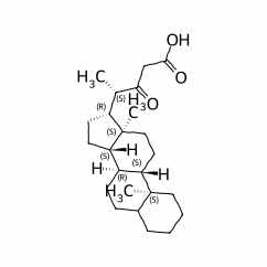 C[C@H](C(=O)CC(=O)O)[C@H]1CC[C@H]2[C@@H]3CCC4CCCC[C@]4(C)[C@H]3CC[C@]12C